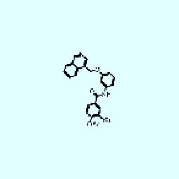 CC(=O)Oc1ccc(C(=O)Nc2cccc(OCc3cncc4ccccc34)c2)cc1C(C)(C)C